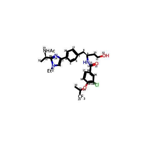 CCn1cc(-c2ccc(C[C@@H](CCO)NC(=O)c3ccc(OC(C)C(F)(F)F)c(Cl)c3)cc2)nc1[C@@H](C)NC(C)=O